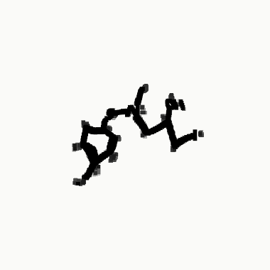 CN(CC(O)CI)Sc1ccc(I)cc1